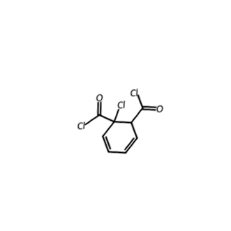 O=C(Cl)C1C=CC=CC1(Cl)C(=O)Cl